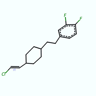 Fc1ccc(CCC2CCC(/C=C/Cl)CC2)cc1F